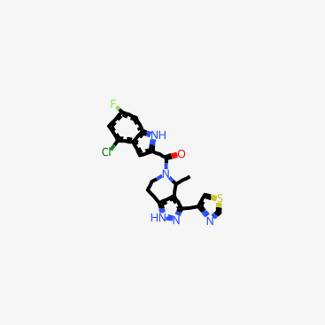 CC1c2c(-c3cscn3)n[nH]c2CCN1C(=O)c1cc2c(Cl)cc(F)cc2[nH]1